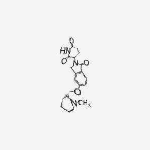 CN1CCCC[C@@H]1COc1ccc2c(c1)CN(C1CCC(=O)NC1=O)C2=O